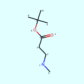 C[N]CCC(=O)OC(C)(C)C